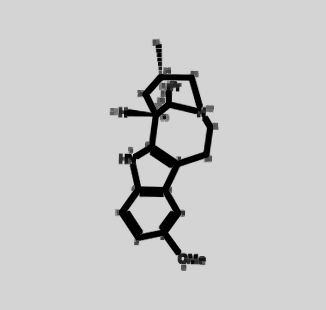 COc1ccc2[nH]c3c(c2c1)CCN1C[C@@H](C)C[C@@H]3C1C(C)C